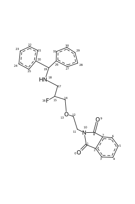 O=C1c2ccccc2C(=O)N1CCOCC(F)CNC(c1ccccc1)c1ccccc1